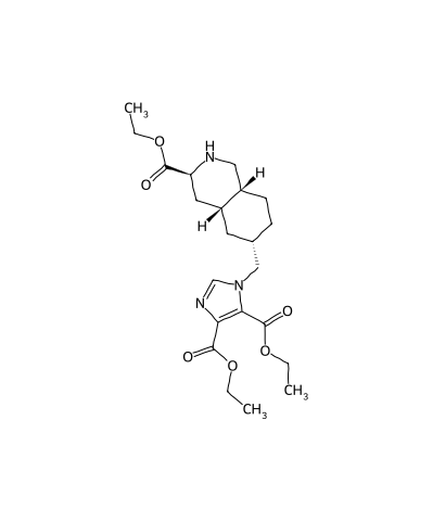 CCOC(=O)c1ncn(C[C@H]2CC[C@H]3CN[C@H](C(=O)OCC)C[C@H]3C2)c1C(=O)OCC